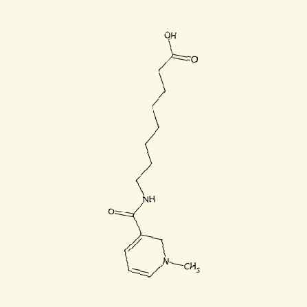 CN1C=CC=C(C(=O)NCCCCCCCC(=O)O)C1